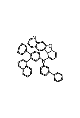 C1=CC2Oc3cc4ncccc4cc3C2C(N(c2cccc(-c3ccccc3)c2)c2ccc(-c3ccccc3)c(-c3cccc4ccccc34)c2)=C1